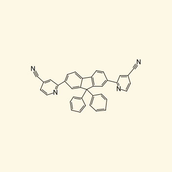 N#Cc1ccnc(-c2ccc3c(c2)C(c2ccccc2)(c2ccccc2)c2cc(-c4cc(C#N)ccn4)ccc2-3)c1